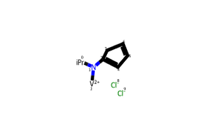 CC(C)[N]([V+2])C1=CC=CC1.[Cl-].[Cl-]